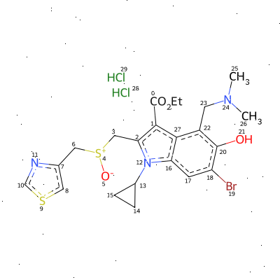 CCOC(=O)c1c(C[S+]([O-])Cc2cscn2)n(C2CC2)c2cc(Br)c(O)c(CN(C)C)c12.Cl.Cl